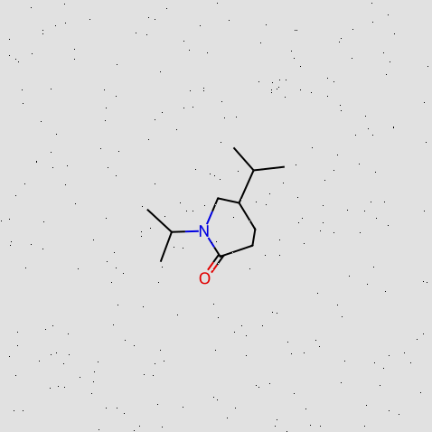 CC(C)C1CCC(=O)N(C(C)C)C1